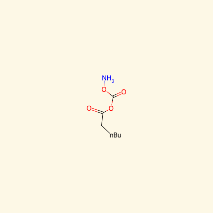 CCCCCC(=O)OC(=O)ON